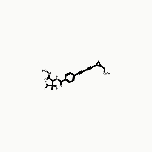 COCC1CC1C#CC#Cc1ccc(C(=O)NC(C(=O)NO)C(C)(O)C(F)F)cc1